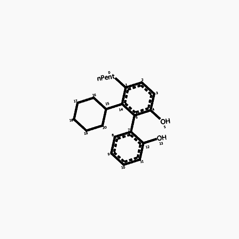 CCCCCc1ccc(O)c(-c2ccccc2O)c1C1CCCCC1